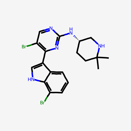 CC1(C)CC[C@H](Nc2ncc(Br)c(-c3c[nH]c4c(Br)cccc34)n2)CN1